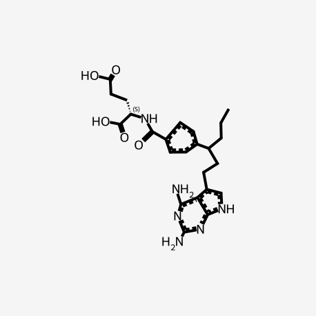 CCCC(CCc1c[nH]c2nc(N)nc(N)c12)c1ccc(C(=O)N[C@@H](CCC(=O)O)C(=O)O)cc1